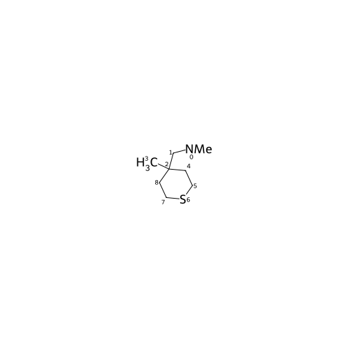 CNCC1(C)CCSCC1